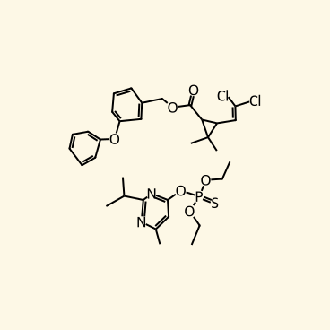 CC1(C)C(C=C(Cl)Cl)C1C(=O)OCc1cccc(Oc2ccccc2)c1.CCOP(=S)(OCC)Oc1cc(C)nc(C(C)C)n1